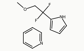 COCC(F)(F)c1ccc[nH]1.c1ccncc1